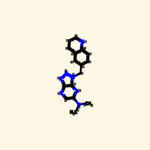 CN(C)c1cnc2nnn(Cc3ccc4ncccc4c3)c2n1